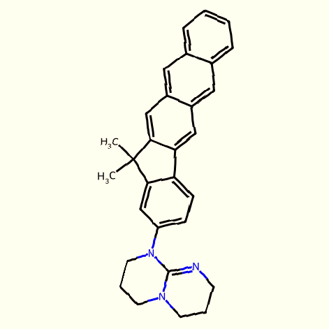 CC1(C)c2cc(N3CCCN4CCCN=C43)ccc2-c2cc3cc4ccccc4cc3cc21